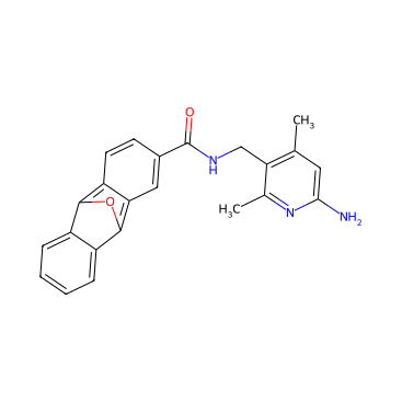 Cc1cc(N)nc(C)c1CNC(=O)c1ccc2c(c1)c1oc2c2ccccc21